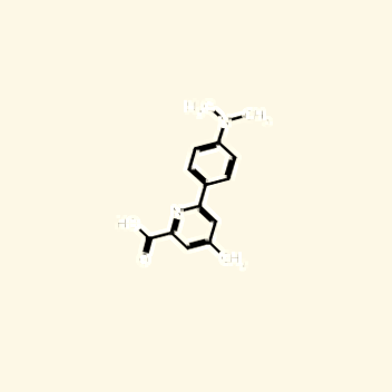 Cc1cc(C(=O)O)nc(-c2ccc(N(C)C)cc2)c1